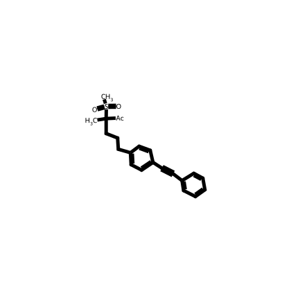 CC(=O)C(C)(CCCc1ccc(C#Cc2ccccc2)cc1)S(C)(=O)=O